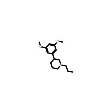 CCCN1CCCC(c2cc(OC)cc(OC)c2)C1